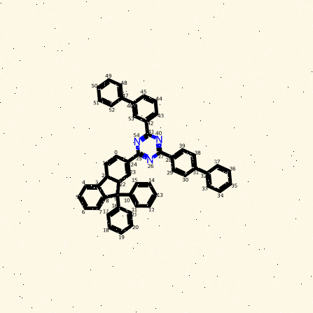 C1=CC2c3ccccc3C(c3ccccc3)(c3ccccc3)C2C=C1c1nc(-c2ccc(-c3ccccc3)cc2)nc(-c2cccc(-c3ccccc3)c2)n1